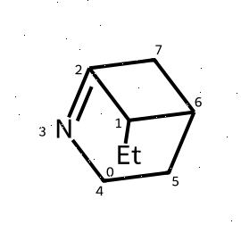 CCC1C2=NCCC1C2